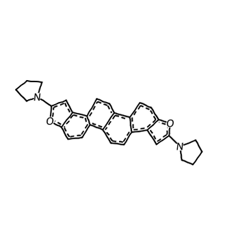 c1cc2c(ccc3c4ccc5oc(N6CCCC6)cc5c4ccc23)c2cc(N3CCCC3)oc12